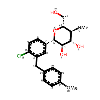 CN[C@H]1[C@H](O)[C@@H](O)[C@H](c2ccc(Cl)c(Cc3ccc(OC)cc3)c2)O[C@@H]1CO